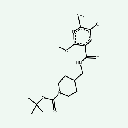 COc1nc(N)c(Cl)cc1C(=O)NCC1CCN(C(=O)OC(C)(C)C)CC1